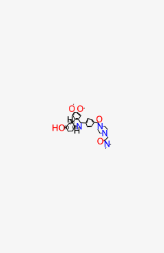 COc1cc2c(cc1OC)[C@H]1C[C@H](O)CC[C@H]1N=C2c1ccc(C(=O)N2CCN(CC(=O)N(C)C)CC2)cc1